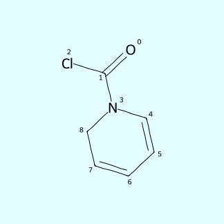 O=C(Cl)N1C=CC=CC1